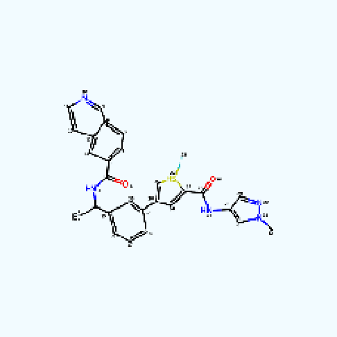 CCC(NC(=O)c1ccc2cnccc2c1)c1cccc(C2=C[SH](F)C(C(=O)Nc3cnn(C)c3)=C2)c1